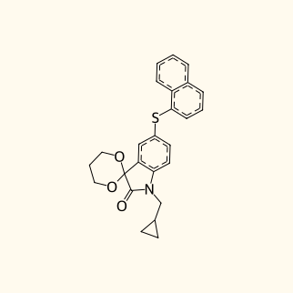 O=C1N(CC2CC2)c2ccc(Sc3cccc4ccccc34)cc2C12OCCCO2